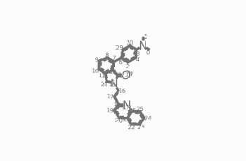 CN(C)c1ccc(-c2cccc3c2C(=O)N(CCc2ccc4ccccc4n2)C3)cc1